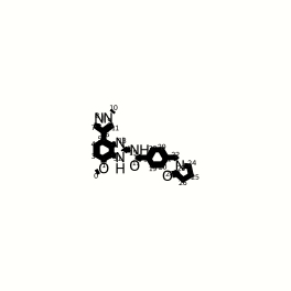 COc1ccc(-c2cnn(C)c2)c2nc(NC(=O)c3ccc(CN4CCCC4=O)cc3)[nH]c12